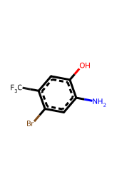 Nc1cc(Br)c(C(F)(F)F)cc1O